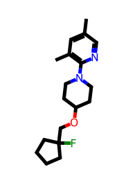 Cc1cnc(N2CCC(OCC3(F)CCCC3)CC2)c(C)c1